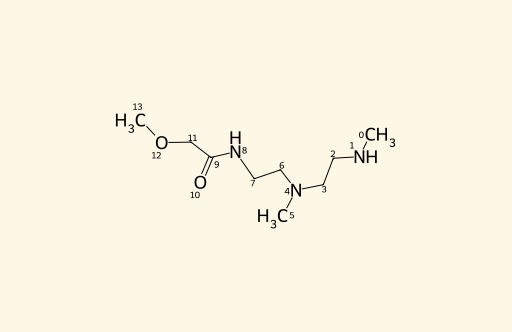 CNCCN(C)CCNC(=O)COC